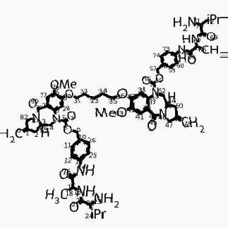 C=C1C[C@H]2CN(C(=O)OCc3ccc(NC(=O)C(C)NC(=O)C(N)C(C)C)cc3)c3cc(OCCCCCOc4cc5c(cc4OC)C(=O)N4CC(=C)C[C@H]4CN5C(=O)OCc4ccc(NC(=O)C(C)NC(=O)C(N)C(C)C)cc4)c(OC)cc3C(=O)N2C1